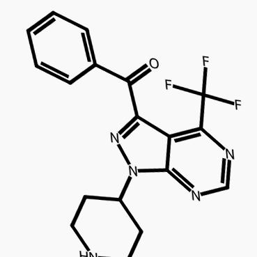 O=C(c1ccccc1)c1nn(C2CCNCC2)c2ncnc(C(F)(F)F)c12